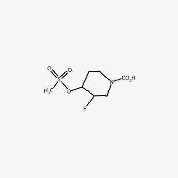 CS(=O)(=O)OC1CCN(C(=O)O)CC1F